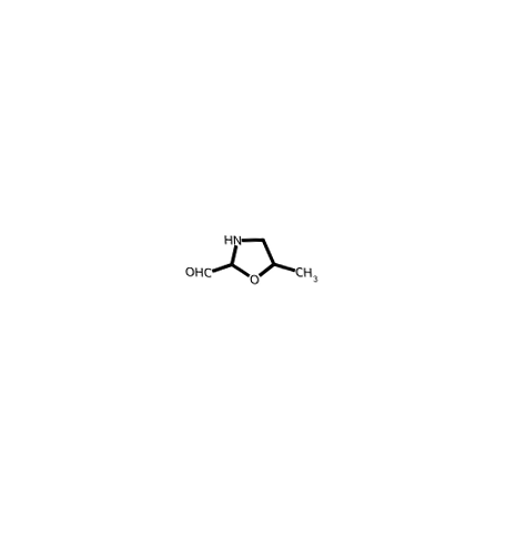 CC1CNC(C=O)O1